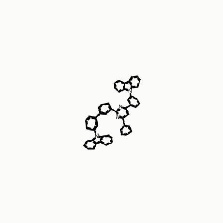 c1ccc(-c2cc(-c3cccc(-n4c5ccccc5c5ccccc54)c3)nc(-c3cccc(-c4cccc(-n5c6ccccc6c6ccccc65)c4)c3)n2)cc1